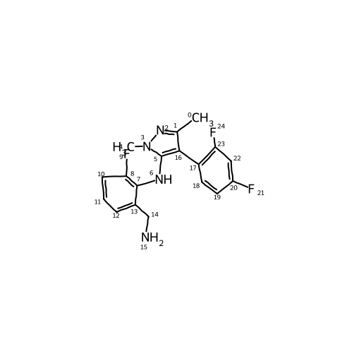 Cc1nn(C)c(Nc2c(F)cccc2CN)c1-c1ccc(F)cc1F